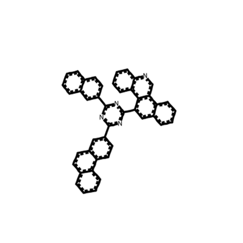 c1ccc2cc(-c3nc(-c4ccc5c(ccc6ccccc65)c4)nc(-c4cc5ccccc5c5cnc6ccccc6c45)n3)ccc2c1